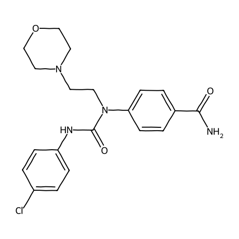 NC(=O)c1ccc(N(CCN2CCOCC2)C(=O)Nc2ccc(Cl)cc2)cc1